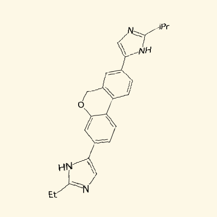 CCc1ncc(-c2ccc3c(c2)OCc2cc(-c4cnc(C(C)C)[nH]4)ccc2-3)[nH]1